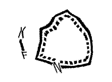 [F][K].c1ccncc1